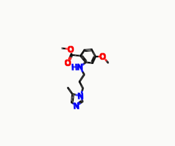 COC(=O)c1ccc(OC)cc1NCCCn1cncc1C